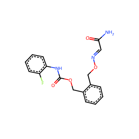 NC(=O)C=NOCc1ccccc1COC(=O)Nc1ccccc1F